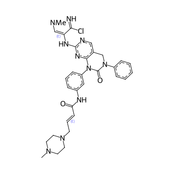 CN/C=C(/Nc1ncc2c(n1)N(c1cccc(NC(=O)/C=C/CN3CCN(C)CC3)c1)C(=O)N(c1ccccc1)C2)C(=N)Cl